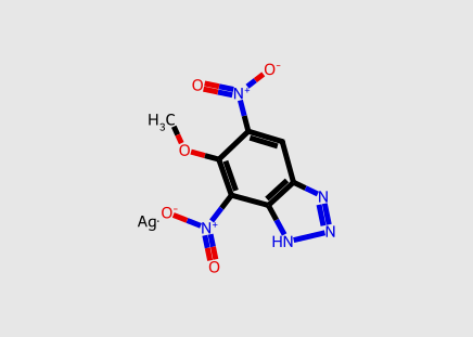 COc1c([N+](=O)[O-])cc2nn[nH]c2c1[N+](=O)[O-].[Ag]